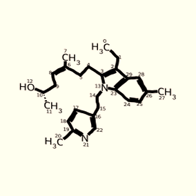 CCc1c(CC/C(C)=C\C[C@H](C)O)n(CCc2ccc(C)nc2)c2ccc(C)cc12